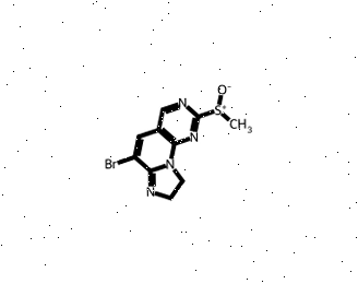 C[S+]([O-])c1ncc2c(n1)N1CCN=C1C(Br)=C2